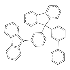 c1ccc(-c2cccc(C3(c4cccc(-n5c6ccccc6c6ccccc65)c4)c4ccccc4-c4ccccc43)c2)cc1